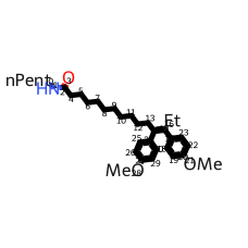 CCCCCNC(=O)CCCCCCCCCCC(=C(CC)c1ccc(OC)cc1)c1ccc(OC)cc1